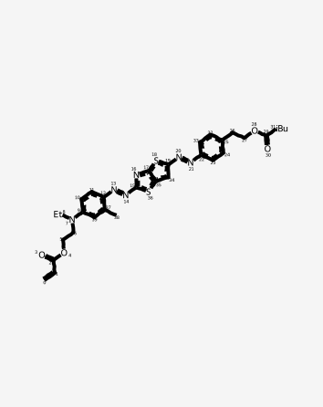 C=CC(=O)OCCN(CC)c1ccc(N=Nc2nc3sc(N=Nc4ccc(CCOC(=O)C(C)CC)cc4)cc3s2)c(C)c1